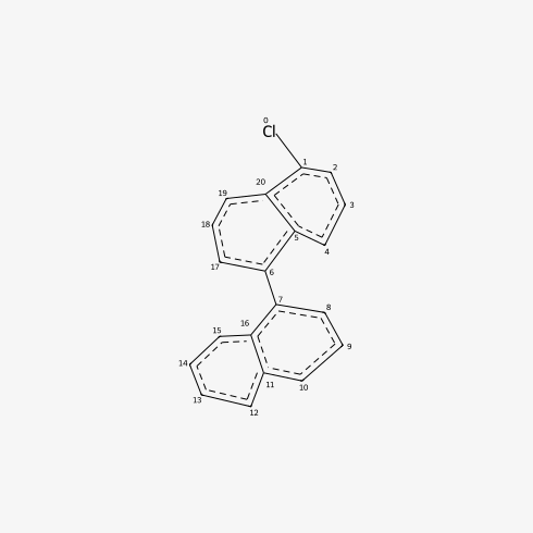 Clc1cccc2c(-c3cccc4ccccc34)cccc12